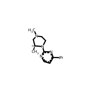 CC(C)c1ccnc(N2CCN(C)C[C@@H]2C)n1